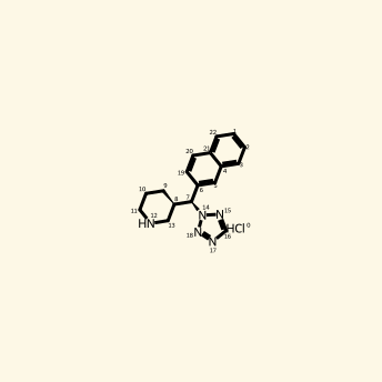 Cl.c1ccc2cc([C@H]([C@@H]3CCCNC3)n3ncnn3)ccc2c1